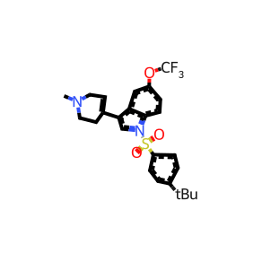 CN1CC=C(c2cn(S(=O)(=O)c3ccc(C(C)(C)C)cc3)c3ccc(OC(F)(F)F)cc23)CC1